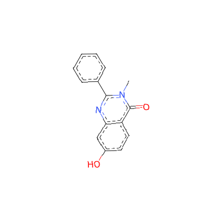 Cn1c(-c2ccccc2)nc2cc(O)ccc2c1=O